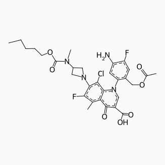 CCCCCOC(=O)N(C)C1CN(c2c(F)c(C)c3c(=O)c(C(=O)O)cn(-c4cc(N)c(F)cc4COC(C)=O)c3c2Cl)C1